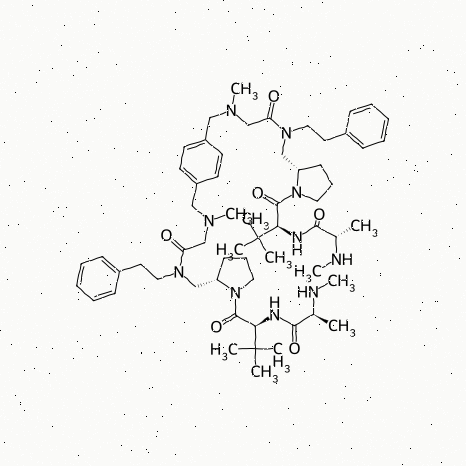 CN[C@@H](C)C(=O)N[C@H](C(=O)N1CCC[C@H]1CN(CCc1ccccc1)C(=O)CN(C)Cc1ccc(CN(C)CC(=O)N(CCc2ccccc2)C[C@@H]2CCCN2C(=O)[C@@H](NC(=O)[C@H](C)NC)C(C)(C)C)cc1)C(C)(C)C